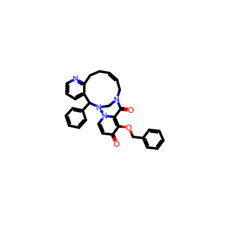 O=C1c2c(OCc3ccccc3)c(=O)ccn2N2CN1C/C=C\CCc1ncccc1C2c1ccccc1